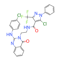 O=C(NCCn1c(Nc2ccc(Cl)cc2)nc2ccccc2c1=O)c1c(C(F)(F)F)nn(-c2ccccc2)c1Cl